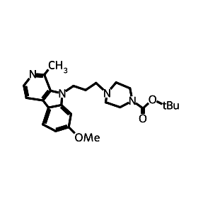 COc1ccc2c3ccnc(C)c3n(CCCN3CCN(C(=O)OC(C)(C)C)CC3)c2c1